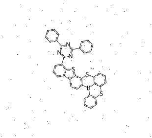 c1ccc(-c2nc(-c3ccccc3)nc(-c3cccc4c3sc3c5c(ccc34)B3c4ccccc4Sc4cccc(c43)S5)n2)cc1